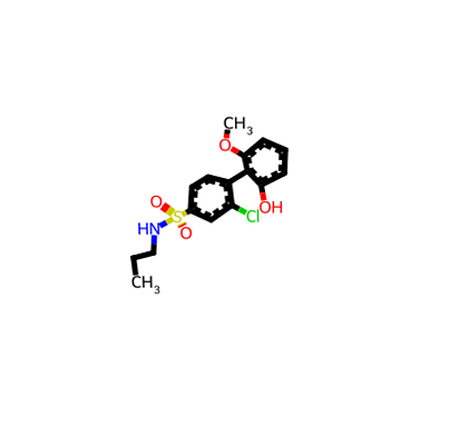 CCCNS(=O)(=O)c1ccc(-c2c(O)cccc2OC)c(Cl)c1